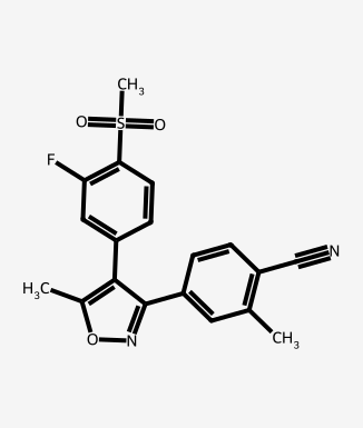 Cc1cc(-c2noc(C)c2-c2ccc(S(C)(=O)=O)c(F)c2)ccc1C#N